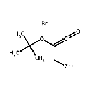 CC(C)(C)OC(=C=O)[CH2][Zn+].[Br-]